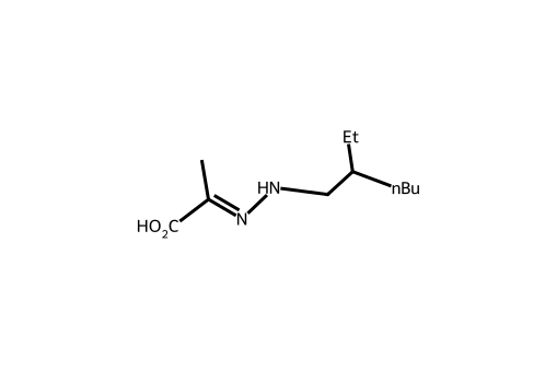 CCCCC(CC)CNN=C(C)C(=O)O